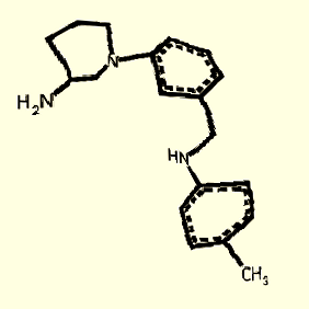 Cc1ccc(NCc2cccc(N3CCCC(N)C3)c2)cc1